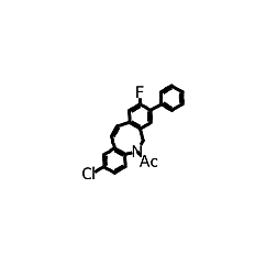 CC(=O)N1Cc2cc(-c3ccccc3)c(F)cc2C=Cc2cc(Cl)ccc21